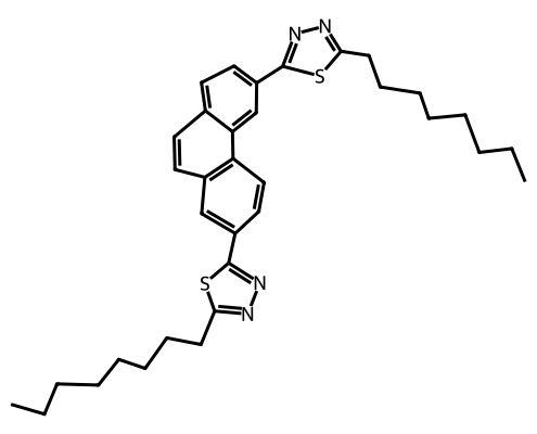 CCCCCCCCc1nnc(-c2ccc3c(ccc4ccc(-c5nnc(CCCCCCCC)s5)cc43)c2)s1